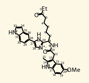 CCC(=O)CCCCCC(NC(=O)Cc1c(C)[nH]c2ccc(OC)cc12)C1=[N+]C=C(c2ccc3[nH]ccc3c2)N1